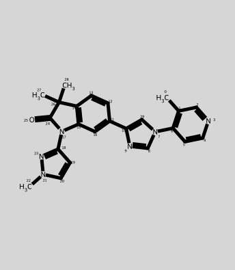 Cc1cnccc1-n1cnc(-c2ccc3c(c2)N(c2ccn(C)n2)C(=O)C3(C)C)c1